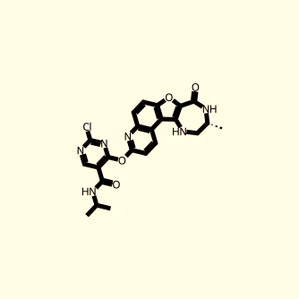 CC(C)NC(=O)c1cnc(Cl)nc1Oc1ccc2c(ccc3oc4c(c32)NC[C@@H](C)NC4=O)n1